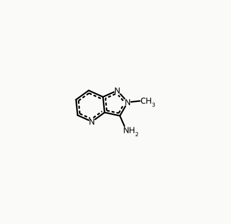 Cn1nc2cccnc2c1N